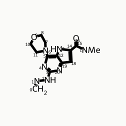 C=NNc1nc(N2CCOCC2)c2[nH]c(C(=O)NC)cc2n1